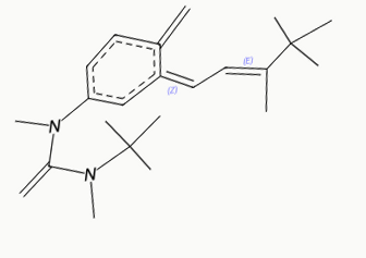 C=C(N(C)c1ccc(=C)/c(=C\C=C(/C)C(C)(C)C)c1)N(C)C(C)(C)C